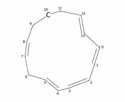 [C]1=C/C=C\C=C\C/C=C/CCC/C=C/1